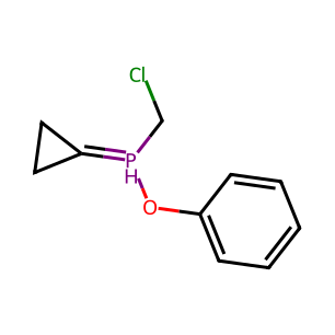 ClC[PH](Oc1ccccc1)=C1CC1